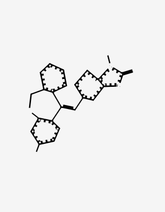 Cn1c(=O)[nH]c2cc(/C=C3\c4ccccc4COc4cc(F)ccc43)ccc21